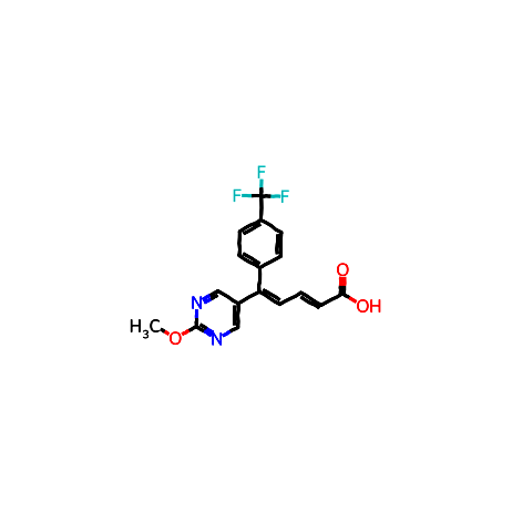 COc1ncc(C(=CC=CC(=O)O)c2ccc(C(F)(F)F)cc2)cn1